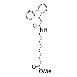 COC(=O)CCCCCCCCNC(=O)C=C1c2ccccc2-c2ccccc21